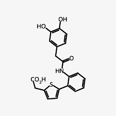 O=C(O)Cc1ccc(-c2ccccc2NC(=O)Cc2ccc(O)c(O)c2)s1